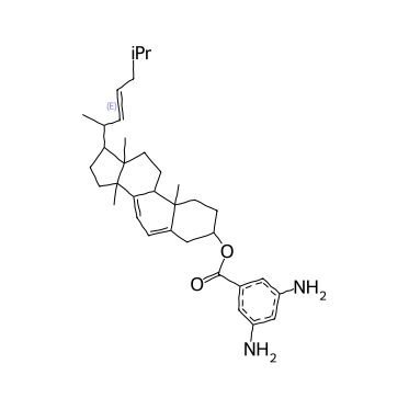 CC(C)C/C=C/C(C)C1CCC2(C)C3=CC=C4CC(OC(=O)c5cc(N)cc(N)c5)CCC4(C)C3CCC12C